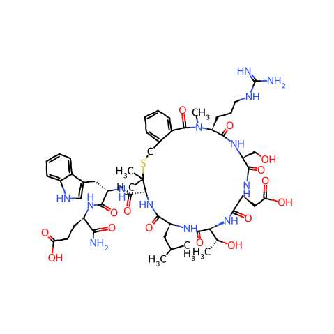 CC(C)C[C@@H]1NC(=O)[C@H]([C@@H](C)O)NC(=O)[C@H](CC(=O)O)NC(=O)[C@H](CO)NC(=O)[C@H](CCCNC(=N)N)N(C)C(=O)c2ccccc2CSC(C)(C)[C@@H](C(=O)N[C@@H](Cc2c[nH]c3ccccc23)C(=O)N[C@H](CCC(=O)O)C(N)=O)NC1=O